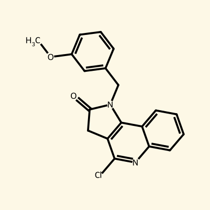 COc1cccc(CN2C(=O)Cc3c(Cl)nc4ccccc4c32)c1